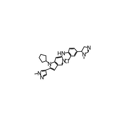 CN1C=NCC1c1ccc(Nc2cc3c(cn2)cc(-c2cnn(C)c2)n3C2CCCC2)c(Cl)c1